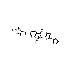 COc1cc(OCc2nn[nH]n2)ccc1C(=O)Nc1nnc(-c2cccs2)o1